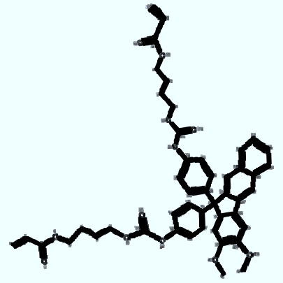 C=CC(=O)OCCCCOC(=O)Oc1ccc(C2(c3ccc(OC(=O)OCCCCOC(=O)C=C)cc3)c3cc(OC)c(OC)cc3-c3cc4ccccc4cc32)cc1